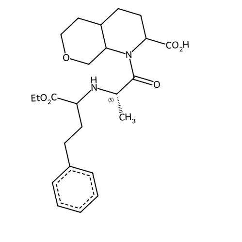 CCOC(=O)C(CCc1ccccc1)N[C@@H](C)C(=O)N1C(C(=O)O)CCC2CCOCC21